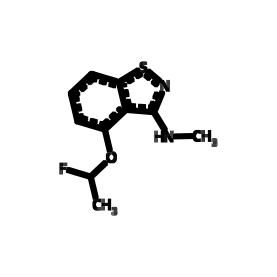 CNc1nsc2cccc(OC(C)F)c12